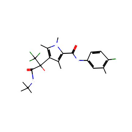 Cc1cc(NC(=O)c2c(C)c(C(O)(C(=O)NC(C)(C)C)C(F)(F)F)c(C)n2C)ccc1F